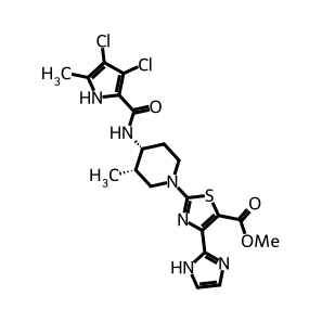 COC(=O)c1sc(N2CC[C@@H](NC(=O)c3[nH]c(C)c(Cl)c3Cl)[C@@H](C)C2)nc1-c1ncc[nH]1